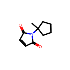 CC1(N2C(=O)C=CC2=O)CCCC1